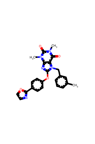 Cc1cccc(Cn2c(Oc3ccc(-c4ncco4)cc3)nc3c2c(=O)n(C)c(=O)n3C)c1